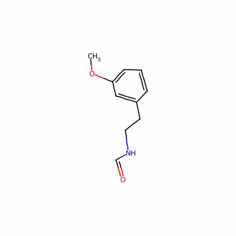 COc1cccc(CCN[C]=O)c1